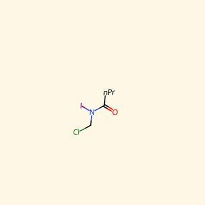 CCCC(=O)N(I)CCl